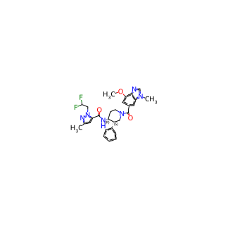 COc1cc(C(=O)N2CC[C@@H](NC(=O)c3cc(C)nn3CC(F)F)[C@@H](c3ccccc3)C2)cc2c1ncn2C